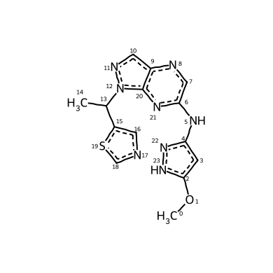 COc1cc(Nc2cnc3cnn(C(C)c4cncs4)c3n2)n[nH]1